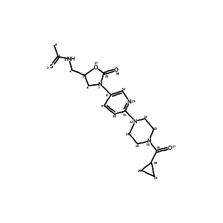 CC(=S)NCC1CN(c2ccc(N3CCN(C(=O)C4CC4)CC3)nc2)C(=O)O1